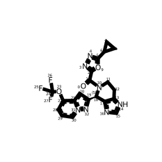 O=C(c1nnc(C2CC2)o1)N1CCc2[nH]cnc2[C@H]1c1cc2c(OC(F)(F)F)cccn2n1